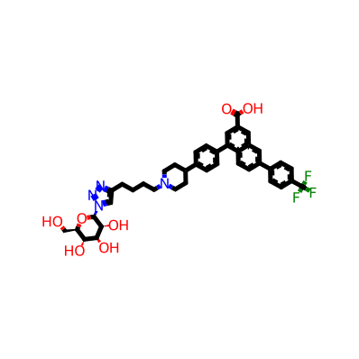 O=C(O)c1cc(-c2ccc(C3CCN(CCCCc4cn([C@@H]5O[C@H](CO)[C@@H](O)[C@H](O)[C@H]5O)nn4)CC3)cc2)c2ccc(-c3ccc(C(F)(F)F)cc3)cc2c1